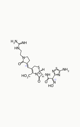 N=C(N)NCCN1CC/C(=C\C2=C(C(=O)O)N3C(=O)[C@@H](NC(=O)/C(=N\O)c4nsc(N)n4)[C@H]3SC2)C1=O